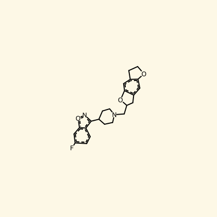 Fc1ccc2c(C3CCN(CC4Cc5cc6c(cc5O4)CCO6)CC3)noc2c1